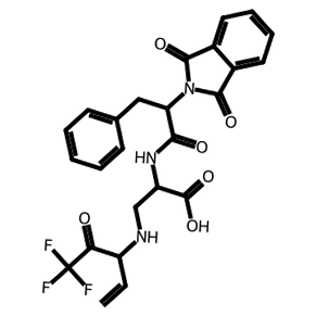 C=CC(NCC(NC(=O)C(Cc1ccccc1)N1C(=O)c2ccccc2C1=O)C(=O)O)C(=O)C(F)(F)F